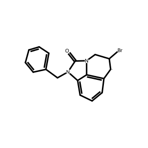 O=c1n(Cc2ccccc2)c2cccc3c2n1CC(Br)[CH]3